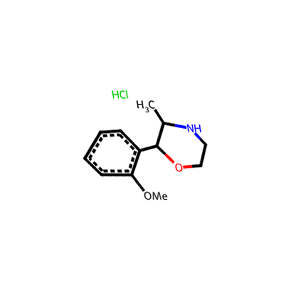 COc1ccccc1C1OCCNC1C.Cl